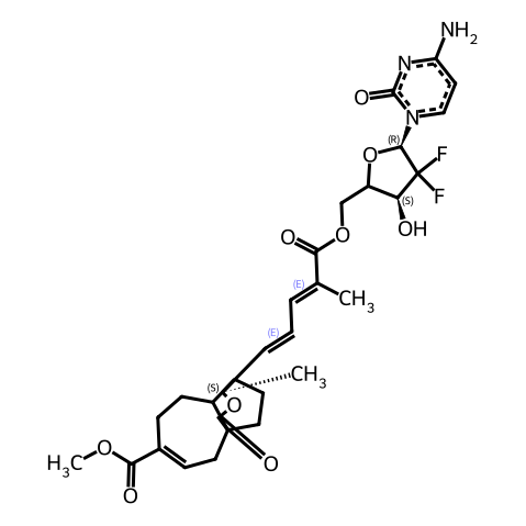 COC(=O)C1=CCC23CCC(C2CC1)[C@@](C)(/C=C/C=C(\C)C(=O)OCC1O[C@@H](n2ccc(N)nc2=O)C(F)(F)[C@H]1O)OC3=O